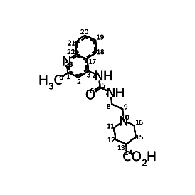 Cc1cc(NC(=O)NCCN2CCC(C(=O)O)CC2)c2ccccc2n1